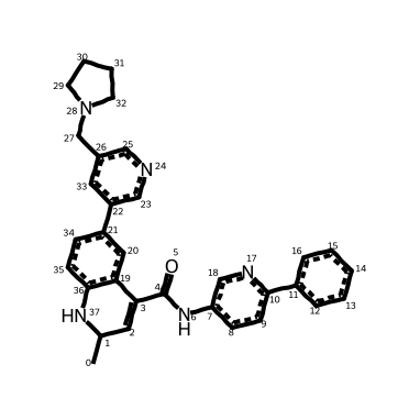 CC1C=C(C(=O)Nc2ccc(-c3ccccc3)nc2)c2cc(-c3cncc(CN4CCCC4)c3)ccc2N1